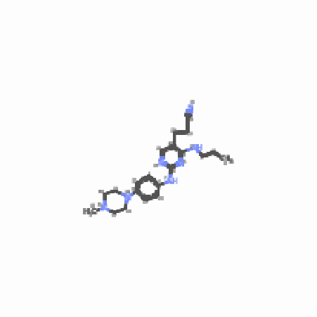 CCCNc1nc(Nc2ccc(N3CCN(C)CC3)cc2)ncc1C=CC#N